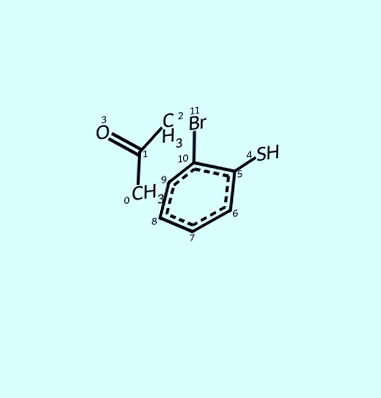 CC(C)=O.Sc1ccccc1Br